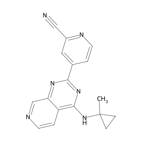 CC1(Nc2nc(-c3ccnc(C#N)c3)nc3cnccc23)CC1